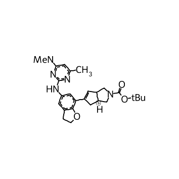 CNc1cc(C)nc(Nc2cc3c(c(C4=CC5CN(C(=O)OC(C)(C)C)C[C@H]5C4)c2)OCC3)n1